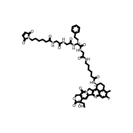 CC[C@@]1(O)C(=O)OCc2c1cc1n(c2=O)Cc2c-1nc1cc(F)c(C)c3c1c2[C@@H](NC(=O)CCCCCNC(=O)CNC(=O)[C@H](CCc1ccccc1)NC(=O)CNC(=O)CNC(=O)CCCCCN1C(=O)C=CC1=O)CC3